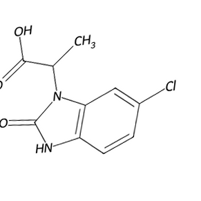 CC(C(=O)O)n1c(=O)[nH]c2ccc(Cl)cc21